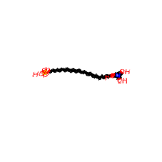 CC(C)(O)N(C(C)(C)O)C(C)(C)O.CCCCCCCCCCCCCCCCCCCCCCCCOS(=O)(=O)O